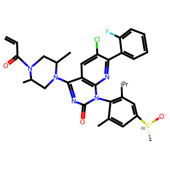 C=CC(=O)N1CC(C)N(c2nc(=O)n(-c3c(C)cc([S@@+](C)[O-])cc3C(C)C)c3nc(-c4ccccc4F)c(Cl)cc23)CC1C